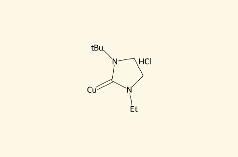 CCN1CCN(C(C)(C)C)[C]1=[Cu].Cl